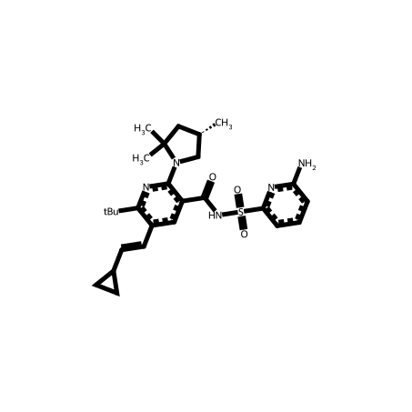 C[C@@H]1CN(c2nc(C(C)(C)C)c(/C=C/C3CC3)cc2C(=O)NS(=O)(=O)c2cccc(N)n2)C(C)(C)C1